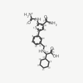 NC(=O)Nc1sc(-c2cccc(CNC(C(=O)O)C3CCCCC3)c2)cc1C(N)=O